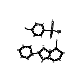 Cc1ccc(S(=O)(=O)O)cc1.Ic1cccc2sc(-c3ccccc3)nc12